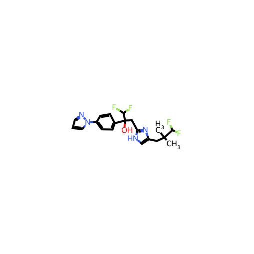 CC(C)(Cc1c[nH]c(CC(O)(c2ccc(-n3cccn3)cc2)C(F)F)n1)C(F)F